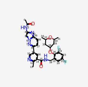 CC(=O)Nc1cn2nc(-c3cnc(C)c(C(=O)NCc4cc(F)cc(F)c4OC4CC(C)OC(C)C4)c3)ccc2n1